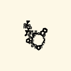 C=CC1C[C@]1(NC(=O)[C@@H]1C[C@@H]2CN1C(=O)[C@H](C1CCCC1)NC(=O)O[C@@H]1CCC[C@H]1CCCCCc1nc3ccccc3cc1O2)C(=O)NS(=O)(=O)C1CC1